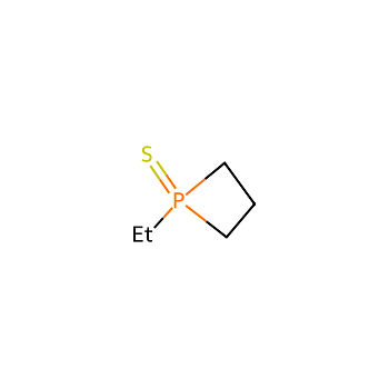 CCP1(=S)CCC1